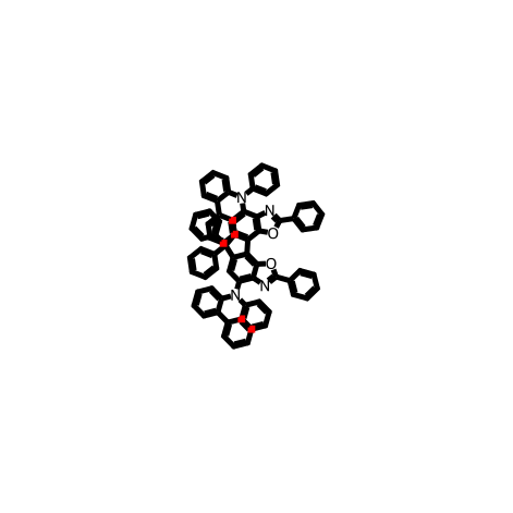 c1ccc(-c2nc3c(N(c4ccccc4)c4ccccc4-c4ccccc4)cc4c(c3o2)-c2c(cc(N(c3ccccc3)c3ccccc3-c3ccccc3)c3nc(-c5ccccc5)oc23)C4(c2ccccc2)c2ccccc2)cc1